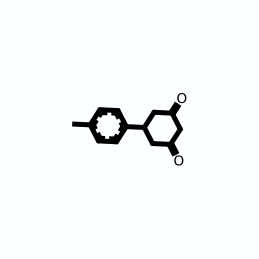 Cc1ccc(C2CC(=O)CC(=O)C2)cc1